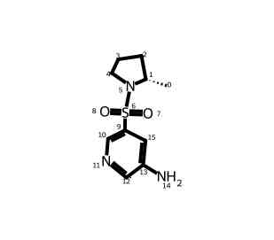 C[C@H]1CCCN1S(=O)(=O)c1cn[c]c(N)c1